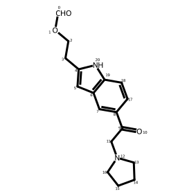 O=COCCc1cc2cc(C(=O)CN3CCCC3)ccc2[nH]1